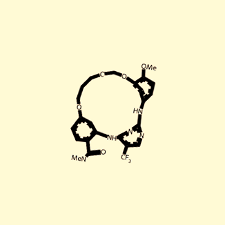 CNC(=O)c1ccc2cc1Nc1nc(ncc1C(F)(F)F)Nc1ccc(OC)c(c1)OCCCCCO2